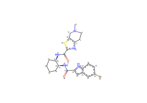 CN1CCc2nc(C(=O)N[C@@H]3CCCC[C@@H]3NC(=O)c3cc4cc(Br)ccc4[nH]3)sc2C1